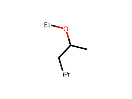 CCOC(C)CC(C)C